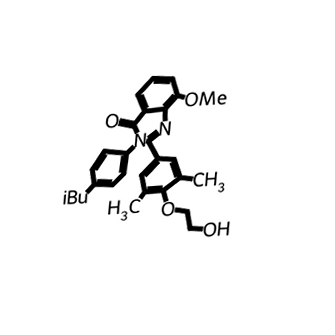 CCC(C)c1ccc(-n2c(-c3cc(C)c(OCCO)c(C)c3)nc3c(OC)cccc3c2=O)cc1